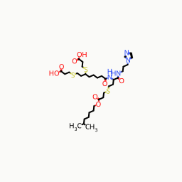 CC(C)CCCCCOC(=O)CCSCCC(NC(=O)CCCCC(CCSCCC(=O)O)SCCC(=O)O)C(=O)NCCCn1ccnc1